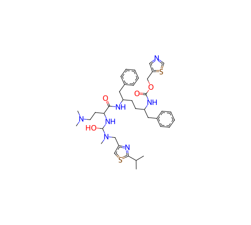 CC(C)c1nc(CN(C)C(O)NC(CCN(C)C)C(=O)NC(CCC(Cc2ccccc2)NC(=O)OCc2cncs2)Cc2ccccc2)cs1